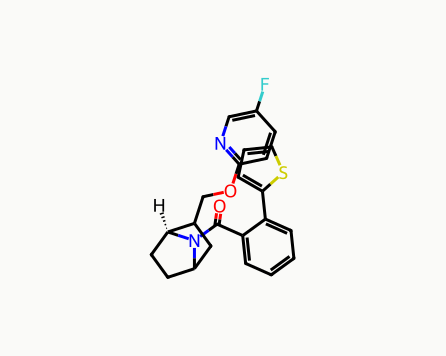 O=C(c1ccccc1-c1cccs1)N1C2CC[C@H]1C(COc1ccc(F)cn1)C2